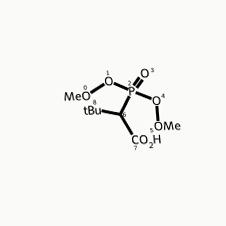 COOP(=O)(OOC)C(C(=O)O)C(C)(C)C